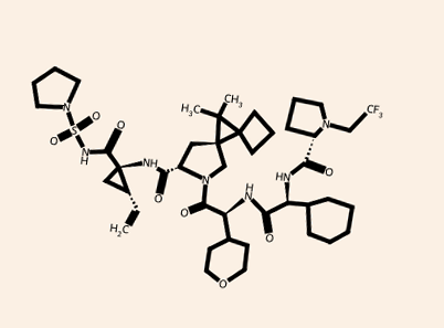 C=C[C@@H]1C[C@]1(NC(=O)[C@@H]1C[C@@]2(CN1C(=O)[C@@H](NC(=O)[C@@H](NC(=O)[C@@H]1CCCN1CC(F)(F)F)C1CCCCC1)C1CCOCC1)C(C)(C)C21CCC1)C(=O)NS(=O)(=O)N1CCCC1